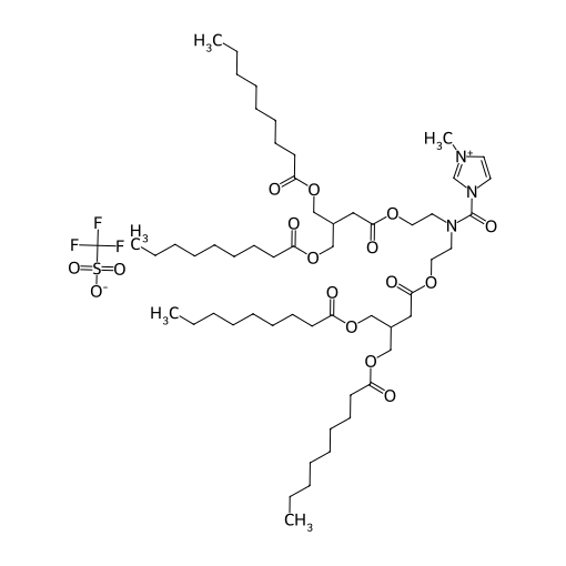 CCCCCCCCC(=O)OCC(COC(=O)CCCCCCCC)CC(=O)OCCN(CCOC(=O)CC(COC(=O)CCCCCCCC)COC(=O)CCCCCCCC)C(=O)n1cc[n+](C)c1.O=S(=O)([O-])C(F)(F)F